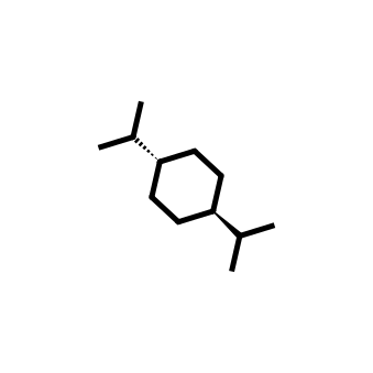 CC(C)[C@H]1CC[C@H](C(C)C)CC1